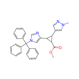 COC(=O)C1C(c2cnn(C)c2)C1c1cn(C(c2ccccc2)(c2ccccc2)c2ccccc2)cn1